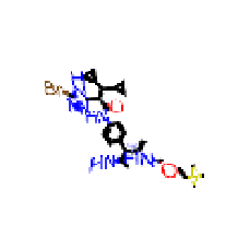 CC(=N)/C(=C(/C)NCOCCS(C)(C)C)c1ccc(NC(=O)C(c2nnc(Br)[nH]2)C(C2CC2)C2CC2)cc1